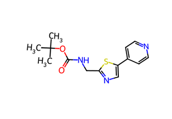 CC(C)(C)OC(=O)NCc1ncc(-c2ccncc2)s1